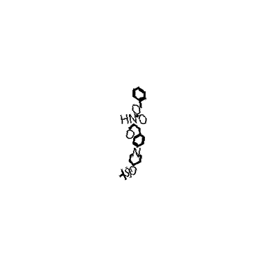 CC(C)(C)[Si](C)(C)OC1CCN(c2ccc3c(c2)OC[C@H](NC(=O)OCc2ccccc2)C3)CC1